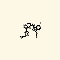 CC(Nc1ccn2ncc(-c3cnn(CC#N)c3)c2n1)c1cc(F)ccc1CCCF